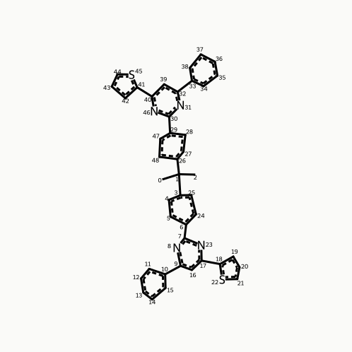 CC(C)(c1ccc(-c2nc(-c3ccccc3)cc(-c3cccs3)n2)cc1)c1ccc(-c2nc(-c3ccccc3)cc(-c3cccs3)n2)cc1